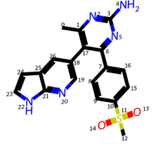 Cc1nc(N)nc(-c2ccc(S(C)(=O)=O)cc2)c1-c1cnc2[nH]ccc2c1